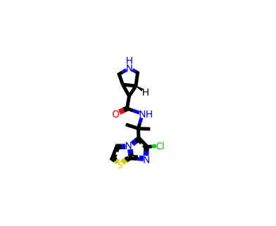 CC(C)(NC(=O)C1C2CNC[C@@H]21)c1c(Cl)nc2sccn12